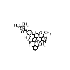 CCc1ncnc(CC)c1-n1c(=O)nc(N2CCN(C(=O)OC(C)(C)C)C[C@@H]2C)c2cc(F)c(-c3c(F)cccc3F)[n+]([O-])c21